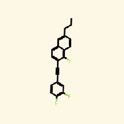 CCCc1ccc2c(F)c(C#Cc3ccc(F)c(F)c3)ccc2c1